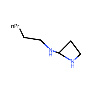 CCCCCNC1CCN1